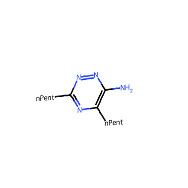 CCCCCc1nnc(N)c(CCCCC)n1